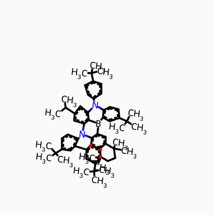 CC(C)c1cc2c3c(c1)N(c1ccc(C(C)(C)C)cc1-c1cccc(C(C)(C)C)c1)c1cc4c(cc1B3c1cc(C(C)(C)C)ccc1N2c1ccc(C(C)(C)C)cc1)C(C)(C)CCC4(C)C